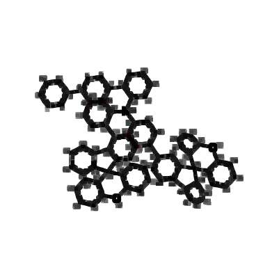 c1ccc(-c2ccc(-c3ccccc3N(c3ccc(-c4ccc5c(c4)C4(c6ccccc6Oc6ccccc64)c4ccccc4-5)cc3)c3ccccc3-c3cccc4c3-c3ccccc3C43c4ccccc4Oc4ccccc43)cc2)cc1